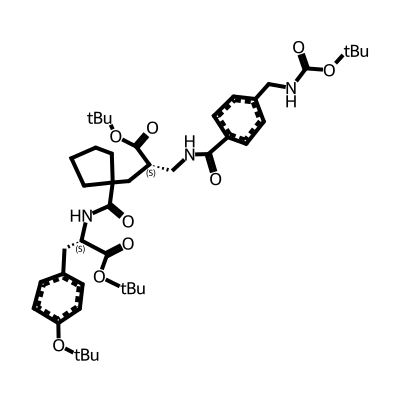 CC(C)(C)OC(=O)NCc1ccc(C(=O)NC[C@H](CC2(C(=O)N[C@@H](Cc3ccc(OC(C)(C)C)cc3)C(=O)OC(C)(C)C)CCCC2)C(=O)OC(C)(C)C)cc1